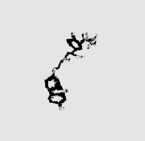 CS(=O)(=O)Nc1cc(C(O)CNCCOc2ccc3c(c2)[nH]c2cc(Br)ccc23)ccc1Cl